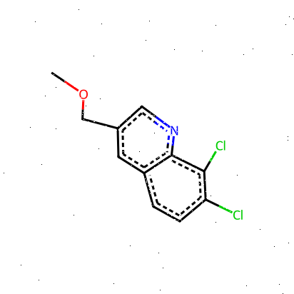 COCc1cnc2c(Cl)c(Cl)ccc2c1